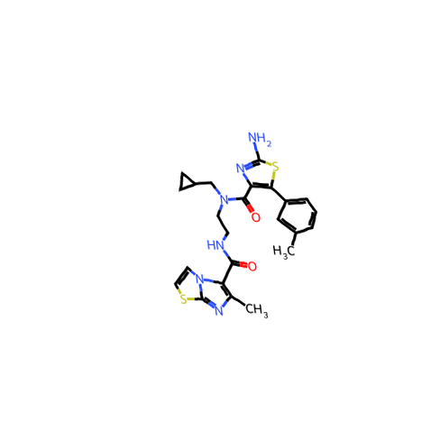 Cc1cccc(-c2sc(N)nc2C(=O)N(CCNC(=O)c2c(C)nc3sccn23)CC2CC2)c1